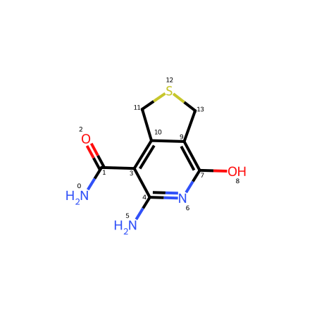 NC(=O)c1c(N)nc(O)c2c1CSC2